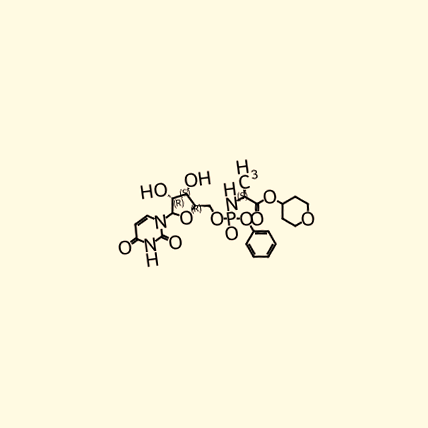 C[C@H](NP(=O)(OC[C@H]1OC(n2ccc(=O)[nH]c2=O)[C@H](O)[C@@H]1O)Oc1ccccc1)C(=O)OC1CCOCC1